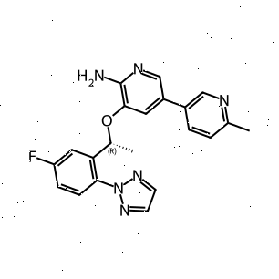 Cc1ccc(-c2cnc(N)c(O[C@H](C)c3cc(F)ccc3-n3nccn3)c2)cn1